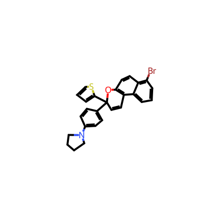 Brc1cccc2c3c(ccc12)OC(c1ccc(N2CCCC2)cc1)(c1cccs1)C=C3